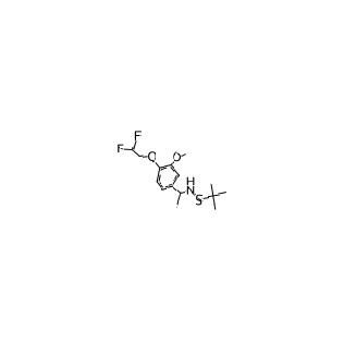 COc1cc(C(C)NSC(C)(C)C)ccc1OCC(F)F